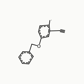 C#Cc1cc(OCc2ccccc2)ccc1[CH2]